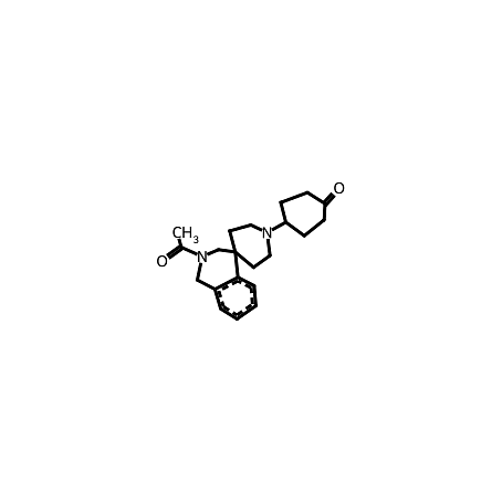 CC(=O)N1Cc2ccccc2C2(CCN(C3CCC(=O)CC3)CC2)C1